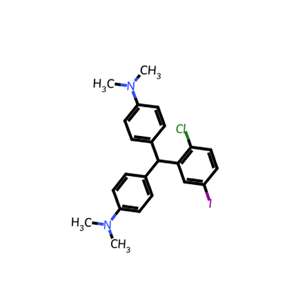 CN(C)c1ccc(C(c2ccc(N(C)C)cc2)c2cc(I)ccc2Cl)cc1